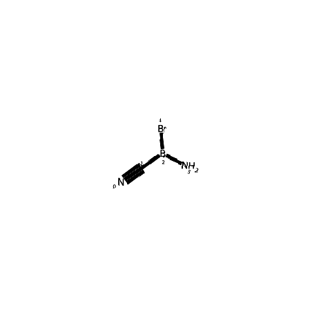 N#CB(N)Br